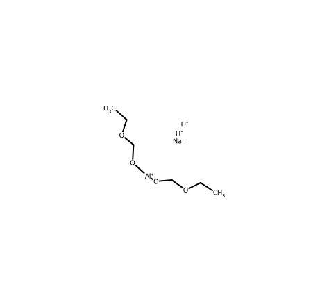 CCOC[O][Al+][O]COCC.[H-].[H-].[Na+]